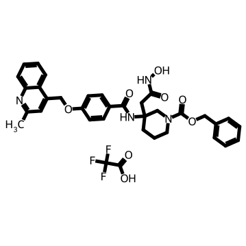 Cc1cc(COc2ccc(C(=O)NC3(CC(=O)NO)CCCN(C(=O)OCc4ccccc4)C3)cc2)c2ccccc2n1.O=C(O)C(F)(F)F